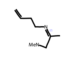 C=CCC/N=C(/C)CNC